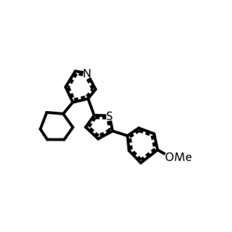 COc1ccc(-c2ccc(-c3cnccc3C3CCCCC3)s2)cc1